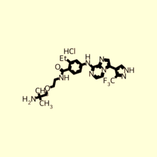 CCc1cc(Nc2nccn3c(-c4c[nH]nc4C(F)(F)F)cnc23)ccc1C(=O)NCCOCC(C)(C)N.Cl